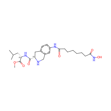 COC(=O)[C@H](CC(C)C)NC(=O)[C@@H]1Cc2ccc(NC(=O)CCCCCCC(=O)NO)cc2CN1